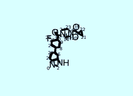 CN1CNc2cc(-c3ccc(C(=O)N4CCN(C(=O)C5(O)CC5)CC4)c(F)c3)ccc21